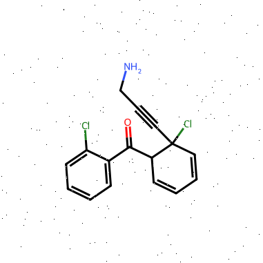 NCC#CC1(Cl)C=CC=CC1C(=O)c1ccccc1Cl